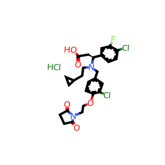 Cl.O=C(O)C[C@@H](c1ccc(Cl)c(F)c1)N(CCC1CC1)Cc1ccc(OCCN2C(=O)CCC2=O)c(Cl)c1